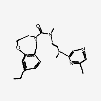 CCc1ccc2c(c1)OCCN(C(=O)N(C)CCN(C)c1cncc(C)n1)C2